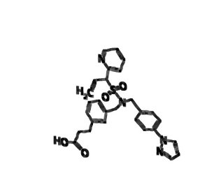 C=CC(c1ccccn1)S(=O)(=O)N(Cc1ccc(-n2cccn2)cc1)Cc1cccc(CCC(=O)O)c1